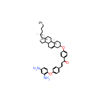 CC(C)CCC[C@@H](C)[C@H]1CCC2C3CC=C4CC(Oc5ccc(C(=O)C=Cc6ccc(Oc7ccc(N)cc7N)cc6)cc5)CC[C@]4(C)C3CC[C@@]21C